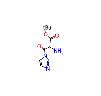 CC(C)(C)OC(=O)C(N)C(=O)n1ccnc1